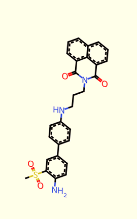 CS(=O)(=O)c1cc(-c2ccc(NCCCN3C(=O)c4cccc5cccc(c45)C3=O)cc2)ccc1N